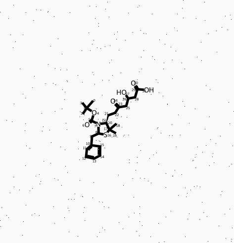 CC(C)(C)OC(=O)N1C(Cc2ccccc2)SC(C)(C)[C@@H]1CCC(=O)CC(O)CC(=O)O